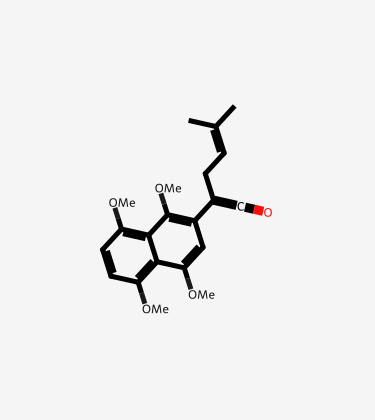 COc1ccc(OC)c2c(OC)c(C(=C=O)CC=C(C)C)cc(OC)c12